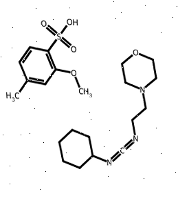 C(=NCCN1CCOCC1)=NC1CCCCC1.COc1cc(C)ccc1S(=O)(=O)O